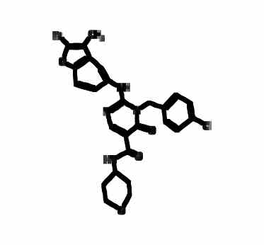 CCc1oc2ccc(Nc3ncc(C(=O)NC4CCOCC4)c(=O)n3Cc3ccc(Cl)cc3)cc2c1C